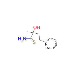 CC(O)(CCc1ccccc1)C(N)=S